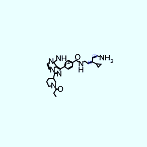 CCC(=O)N1CCCC(c2nc(-c3ccc(C(=O)NC/C=C(\C=C/N)C4CC4)cc3)c3c(N)nccn23)C1